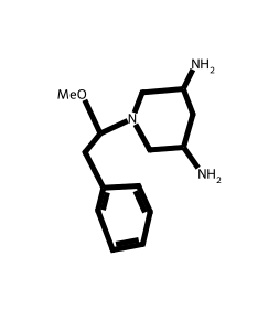 COC(Cc1ccccc1)N1CC(N)CC(N)C1